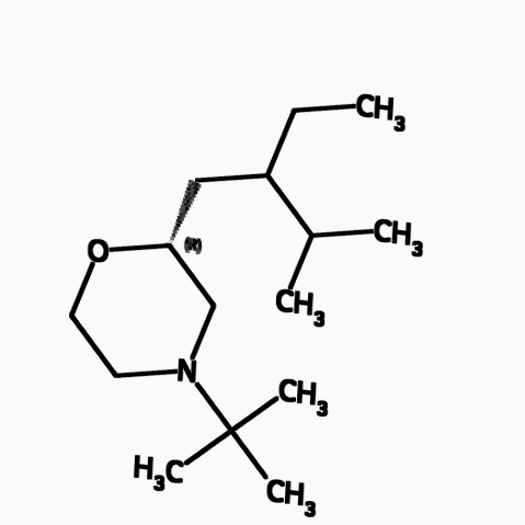 CCC(C[C@@H]1CN(C(C)(C)C)CCO1)C(C)C